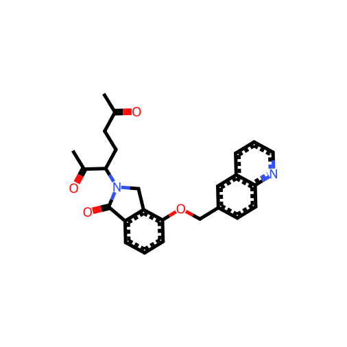 CC(=O)CCC(C(C)=O)N1Cc2c(OCc3ccc4ncccc4c3)cccc2C1=O